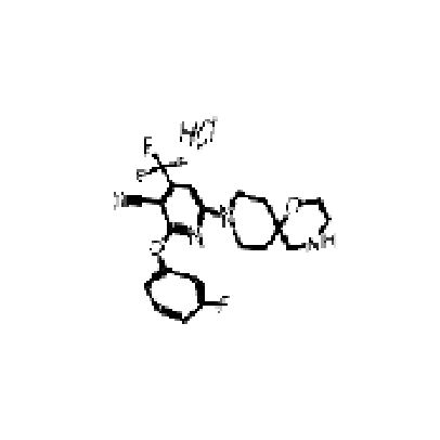 Cl.N#Cc1c(C(F)(F)F)cc(N2CCC3(CC2)CNCCO3)nc1Oc1cccc(F)c1